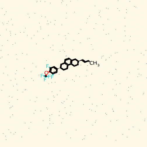 CC/C=C/[C@H]1CCc2c(ccc3c2CC[C@H](c2cc(F)c(OC(F)(F)F)c(F)c2)C3)C1